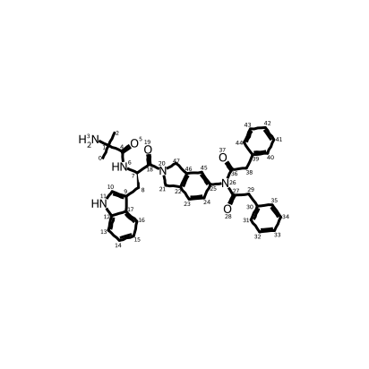 CC(C)(N)C(=O)N[C@H](Cc1c[nH]c2ccccc12)C(=O)N1Cc2ccc(N(C(=O)Cc3ccccc3)C(=O)Cc3ccccc3)cc2C1